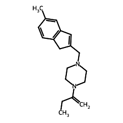 C=C(CC)N1CCN(CC2=Cc3cc(C)ccc3C2)CC1